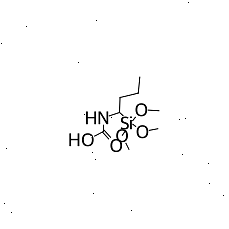 CCCC(NC(=O)O)[Si](OC)(OC)OC